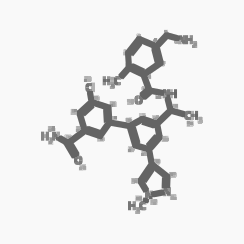 Cc1ccc(CN)cc1C(=O)NC(C)c1cc(-c2cc(Cl)cc(C(N)=O)c2)cc(-c2cnn(C)c2)c1